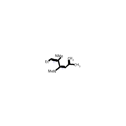 C=C(C)/C=C(NC)\C(=C/CC)NC